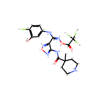 CC1(C(=O)Nc2nonc2/C(=N\OC(=O)C(F)(F)F)Nc2ccc(F)c(Br)c2)CCNCC1